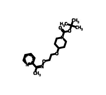 CC(=NOCCOC1CCN(C(=O)OC(C)(C)C)CC1)c1ccccn1